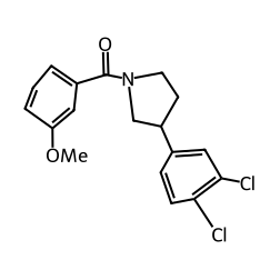 COc1cccc(C(=O)N2CCC(c3ccc(Cl)c(Cl)c3)C2)c1